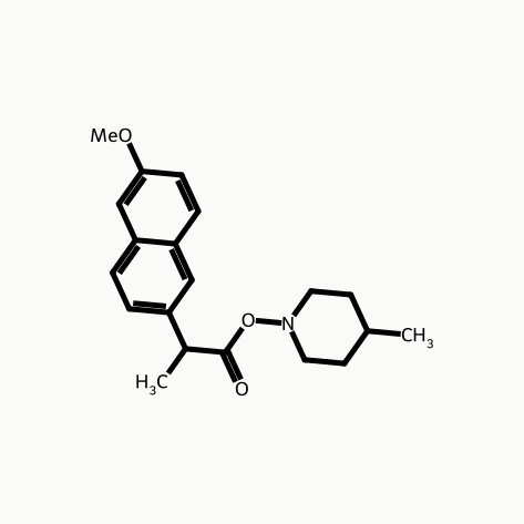 COc1ccc2cc(C(C)C(=O)ON3CCC(C)CC3)ccc2c1